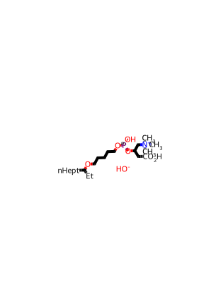 CCCCCCCC(CC)OCCCCCO[P@](O)OC(CC(=O)O)C[N+](C)(C)C.[OH-]